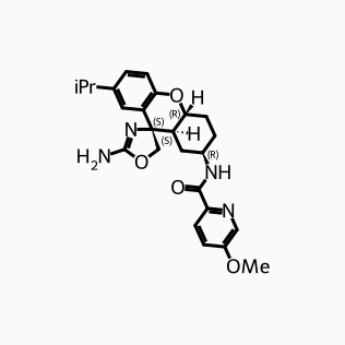 COc1ccc(C(=O)N[C@@H]2CC[C@H]3Oc4ccc(C(C)C)cc4[C@]4(COC(N)=N4)[C@@H]3C2)nc1